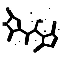 CCCCC(C(=O)C1=CC(=O)NC1=O)N1C(=O)C=CC1=O